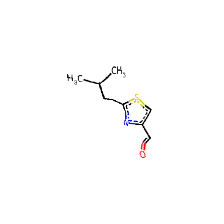 C[C](C)Cc1nc(C=O)cs1